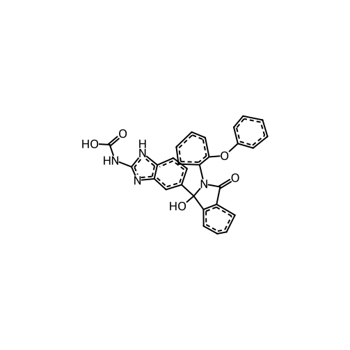 O=C(O)Nc1nc2cc(C3(O)c4ccccc4C(=O)N3c3ccccc3Oc3ccccc3)ccc2[nH]1